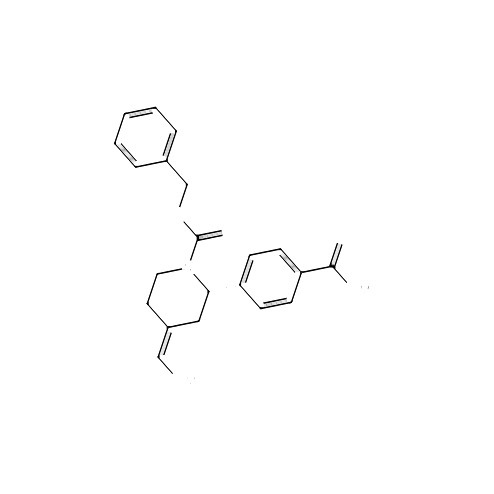 CO/C=C1/CCN(C(=O)OCc2ccccc2)[C@H](c2ccc(C(=O)OC)cc2)C1